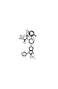 Cc1nc2c(n1[C@H]1CCOC1)CN([C@H]1CO[C@H](c3cc(F)ccc3F)[C@@H](N(C(=O)O)C(C)(C)C)C1)C2